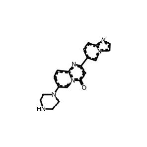 O=c1cc(-c2ccc3nccn3c2)nc2ccc(N3CCNCC3)cn12